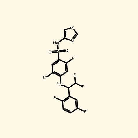 O=S(=O)(Nc1cscn1)c1cc(Cl)c(NC(c2cc(F)ccc2F)C(F)F)cc1F